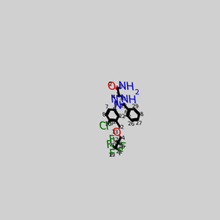 NC(=O)C1=NN(c2ccc(Cl)c(COCC(F)(F)C(F)(F)F)c2)C(c2ccccc2)N1